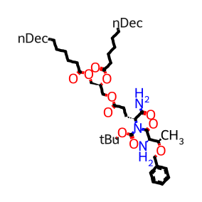 CCCCCCCCCCCCCCCC(=O)OC[C@H](COC(=O)CC[C@H](C(N)=O)N(C(=O)OC(C)(C)C)C(=O)[C@@H](N)[C@@H](C)OCc1ccccc1)OC(=O)CCCCCCCCCCCCCCC